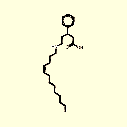 CCCCCCCC/C=C\CCCNCCC(CC(=O)O)c1ccccc1